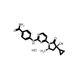 C[C@@H]1C[C@@](C#N)(C2CC2)C(=O)N1c1ccnc(Nc2ccc(C(N)=O)cc2)n1.Cl